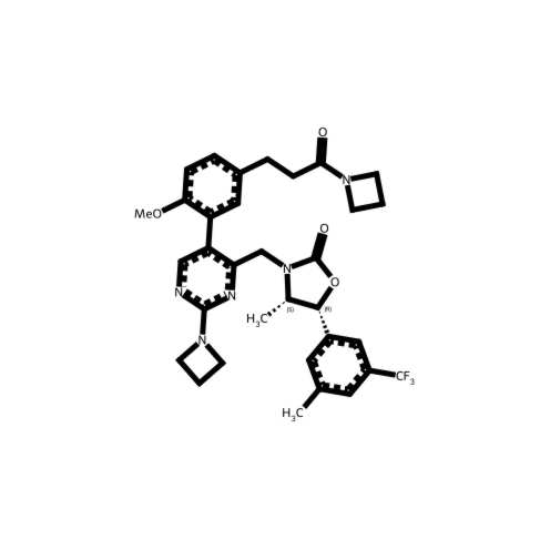 COc1ccc(CCC(=O)N2CCC2)cc1-c1cnc(N2CCC2)nc1CN1C(=O)O[C@H](c2cc(C)cc(C(F)(F)F)c2)[C@@H]1C